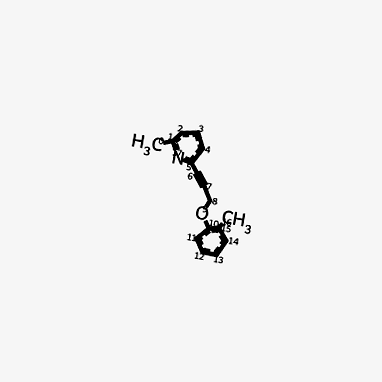 Cc1cccc(C#CCOc2ccccc2C)n1